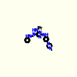 CC(C)Nc1nc(Nc2ccc(N3CCN(C)CC3)cc2)ncc1/N=C/Nc1ccccc1